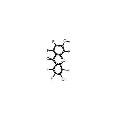 COc1c(F)c(F)c2c(=O)c3c(F)c(F)c(O)c(F)c3oc2c1F